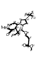 COC(=O)CCOC[C@@H]1C[C@H](C(F)(F)F)CN1c1cn[nH]c(=O)c1C(F)(F)F